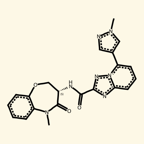 CN1C(=O)[C@@H](NC(=O)c2nc3cccc(-c4cnn(C)c4)n3n2)COc2ccccc21